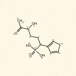 CC(=O)N(O)CCC(c1ccsc1)P(=O)(O)O